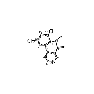 C=C(c1cccnc1)C(C)c1ccc(Cl)cc1Cl